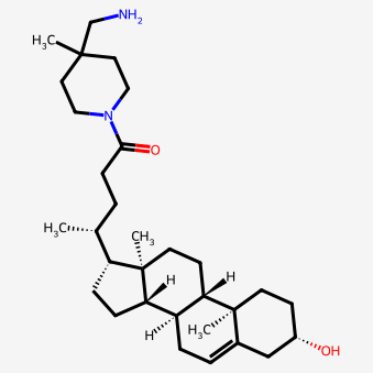 C[C@H](CCC(=O)N1CCC(C)(CN)CC1)[C@H]1CC[C@H]2[C@@H]3CC=C4C[C@@H](O)CC[C@]4(C)[C@H]3CC[C@]12C